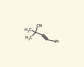 CC(C)C#CC(C)(C)C#N